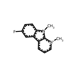 Cn1c2ccc(F)cc2c2ccc[n+](C)c21